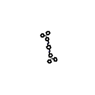 C1=C(/C=C/c2ccc(/C=C/c3ccc(N(c4ccccc4)c4ccccc4)cc3)cc2)CCC(N(c2ccccc2)c2ccccc2)=C1